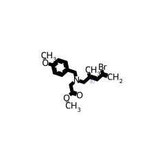 C=C(Br)/C=C(\C)CN(CC(=O)OC)Cc1ccc(OC)cc1